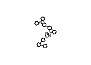 C1=NC(n2c3ccccc3c3ccc(-c4ccc5c(c4)c4ccccc4n5-c4ccccc4)cc32)=NC[C@@H]1c1ccc(-c2ccccc2-c2ccccc2)cc1